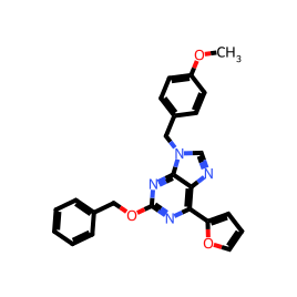 COc1ccc(Cn2cnc3c(-c4ccco4)nc(OCc4ccccc4)nc32)cc1